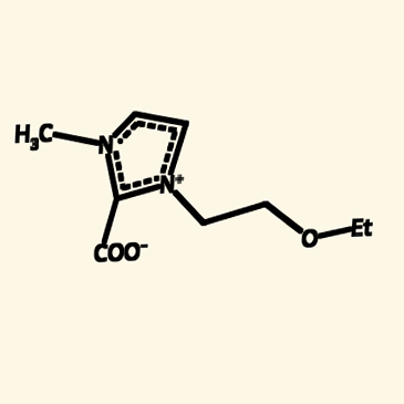 CCOCC[n+]1ccn(C)c1C(=O)[O-]